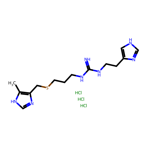 Cc1[nH]cnc1CSCCCNC(=N)NCCc1c[nH]cn1.Cl.Cl.Cl